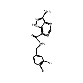 CC(=O)Nc1n[nH]c2c(C(=O)NCc3ccc(F)c(Cl)c3)ncnc12